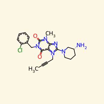 CC#CCn1c(N2CCC[C@@H](N)C2)nc2c1c(=O)n(Cc1ccccc1Cl)c(=O)n2C